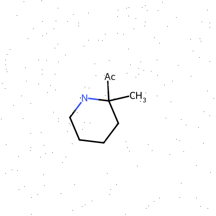 CC(=O)C1(C)CCCC[N]1